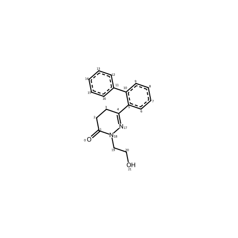 O=C1CCC(c2ccccc2-c2ccccc2)=NN1CCO